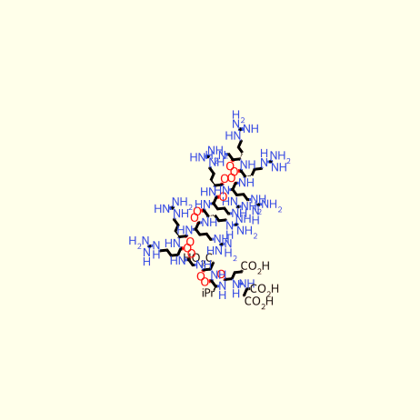 CC(C)[C@H](NC(=O)C(CCC(=O)O)NNC(CC(=O)O)C(=O)O)C(=O)NC(CC(=O)O)C(=O)NCC(=O)NC(CCCNC(=N)N)C(=O)N[C@@H](CCCNC(=N)N)C(=O)NC(CCCNC(=N)N)C(=O)N[C@@H](CCCNC(=N)N)C(=O)NC(CCCNC(=N)N)C(=O)N[C@@H](CCCNC(=N)N)C(=O)NC(CCCNC(=N)N)C(=O)N[C@@H](CCCNC(=N)N)C(=O)N[C@@H](CCCNC(=N)N)C(=O)CN